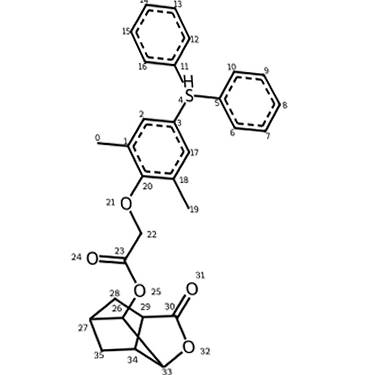 Cc1cc([SH](c2ccccc2)c2ccccc2)cc(C)c1OCC(=O)OC1C2CC3C(=O)OC1C3C2